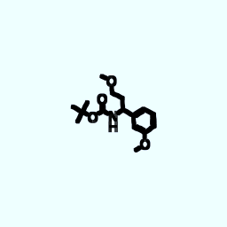 COCCC(NC(=O)OC(C)(C)C)c1cccc(OC)c1